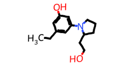 CCc1cc(O)cc(N2CCCC2CCO)c1